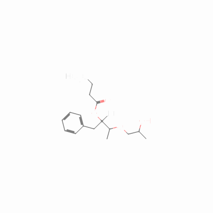 CCC(Cc1ccccc1)(OC(=O)CCC(=O)O)C(C)OCC(C)O